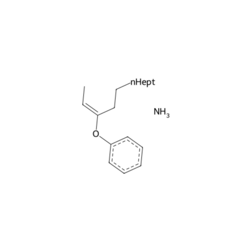 CC=C(CCCCCCCCC)Oc1ccccc1.N